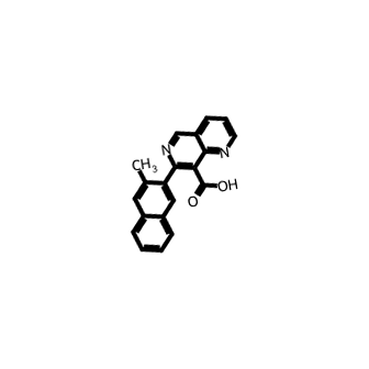 Cc1cc2ccccc2cc1-c1ncc2cccnc2c1C(=O)O